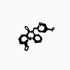 O=C(c1cccc(=O)[nH]1)N(Cc1ccc(F)cn1)c1ccccc1